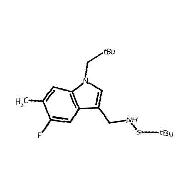 Cc1cc2c(cc1F)c(CNSC(C)(C)C)cn2CC(C)(C)C